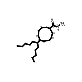 CCCCCC(CCCCC)C1CCCCC(C(=O)NN)CCCC1